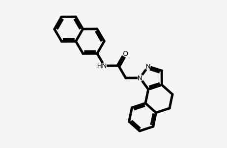 O=C(Cn1ncc2c1-c1ccccc1CC2)Nc1ccc2ccccc2c1